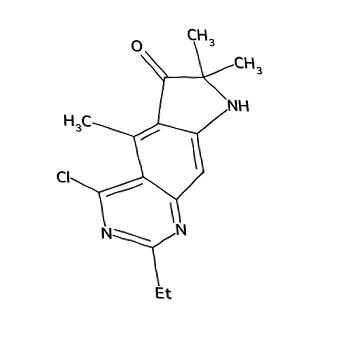 CCc1nc(Cl)c2c(C)c3c(cc2n1)NC(C)(C)C3=O